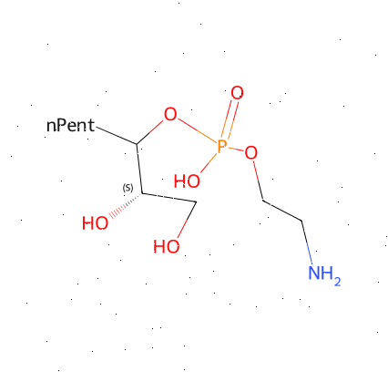 CCCCCC(OP(=O)(O)OCCN)[C@@H](O)CO